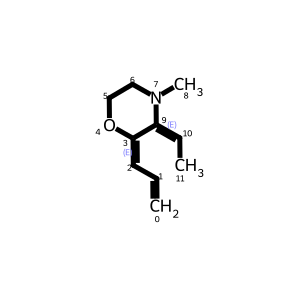 C=C/C=C1/OCCN(C)/C1=C/C